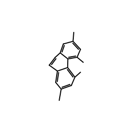 Cc1cc(C)c2c(ccc3cc(C)cc(C)c32)c1